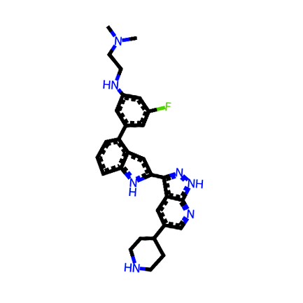 CN(C)CCNc1cc(F)cc(-c2cccc3[nH]c(-c4n[nH]c5ncc(C6CCNCC6)cc45)cc23)c1